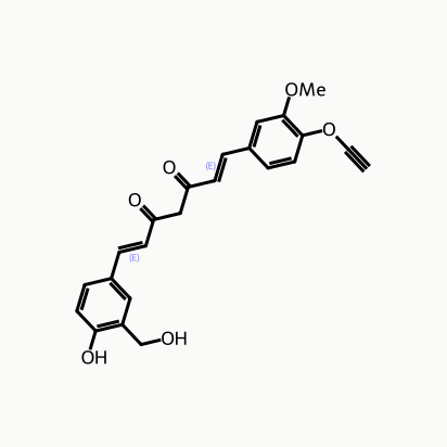 C#COc1ccc(/C=C/C(=O)CC(=O)/C=C/c2ccc(O)c(CO)c2)cc1OC